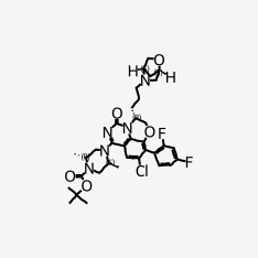 C[C@@H]1CN(c2nc(=O)n3c4c(c(-c5ccc(F)cc5F)c(Cl)cc24)OC[C@H]3CCCN2C[C@@H]3C[C@H]2CO3)[C@@H](C)CN1C(=O)OC(C)(C)C